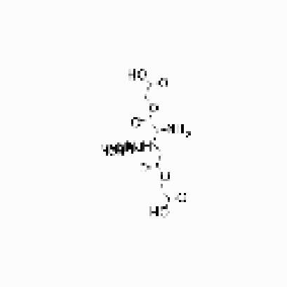 N[C@@H](CCC(=O)OCC(=O)O)C(=O)OCC(=O)O.[NaH].[NaH].[NaH].[NaH]